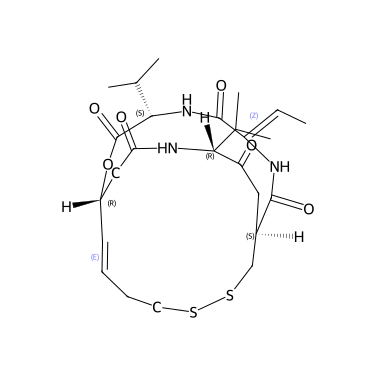 C/C=C1\NC(=O)[C@H]2CSSCC/C=C/[C@@H](CC(=O)N[C@H](C(C)C)C(=O)C2)OC(=O)[C@H](C(C)C)NC1=O